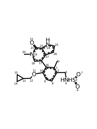 Cc1c(CN[SH](=O)=O)ccc(OCC2CC2)c1-c1cn(C)c(=O)c2[nH]ccc12